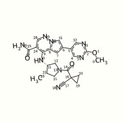 COc1ncc(-c2cc3c(N[C@@H]4CN(C(=O)C5(C#N)CC5)C[C@@H]4C)c(C(N)=O)cnn3c2)cn1